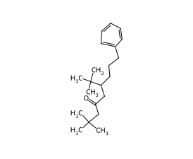 CC(C)(C)CC(=O)CC(CCCc1ccccc1)C(C)(C)C